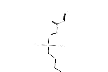 C=CC(=O)CO[Si](CCCS)(OC)OC